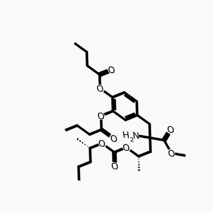 CCCC(=O)Oc1ccc(CC(N)(C[C@H](C)OC(=O)O[C@@H](C)CCC)C(=O)OC)cc1OC(=O)CCC